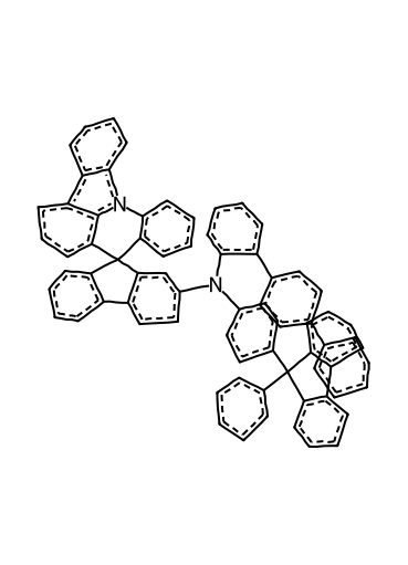 c1ccc(-c2ccc(-c3ccccc3N(c3ccc(C4(c5ccccc5)c5ccccc5-c5ccccc54)cc3)c3ccc4c(c3)C3(c5ccccc5-4)c4ccccc4-n4c5ccccc5c5cccc3c54)cc2)cc1